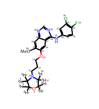 [2H]C1([2H])OC([2H])([2H])C([2H])([2H])N(CCCOc2cc3c(Nc4ccc(F)c(Cl)c4)ncnc3cc2OC)C1([2H])[2H]